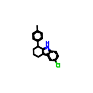 Cc1ccc(C2CCCc3c2[nH]c2ccc(Cl)cc32)cc1